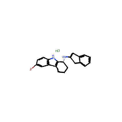 Brc1ccc2[nH]c3c(c2c1)CCC[C@H]3NC1Cc2ccccc2C1.Cl